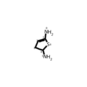 NC1=CCC(N)S1